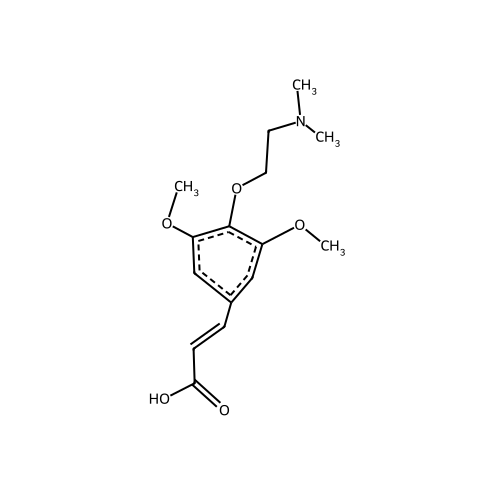 COc1cc(/C=C/C(=O)O)cc(OC)c1OCCN(C)C